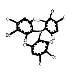 CCc1c(Cl)cc(Cl)c(B(c2c(Cl)cc(Cl)c(CC)c2Cl)c2c(Cl)cc(Cl)c(CC)c2Cl)c1Cl